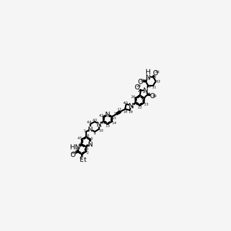 CCc1cc2ncc(CN3CCN(c4ccc(C#CC5CN(c6ccc7c(c6)C(=O)N(C6CCC(=O)NC6=O)C7=O)C5)nc4)CC3)cc2[nH]c1=O